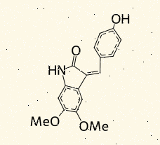 COc1cc2c(cc1OC)/C(=C/c1ccc(O)cc1)C(=O)N2